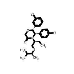 CC[C@@H](CS[C@@H](C)C(C)C)N1C(=O)CO[C@H](c2cccc(Cl)c2)[C@H]1c1ccc(Cl)cc1